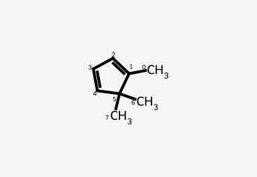 CC1=CC=CC1(C)C